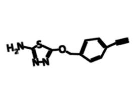 C#Cc1ccc(COc2nnc(N)s2)cc1